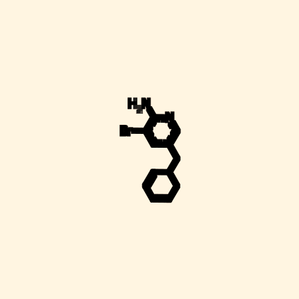 Nc1ncc(CC2C=CC=CC2)cc1Br